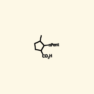 CCCCCC1C(C)CCC1C(=O)O